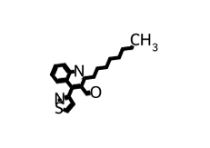 CCCCCCCCc1nc2ccccc2c(-c2ccsn2)c1C=O